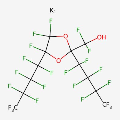 OC(F)(F)C1(C(F)(F)C(F)(F)C(F)(F)C(F)(F)F)OC(F)(F)C(F)(C(F)(F)C(F)(F)C(F)(F)C(F)(F)F)O1.[K]